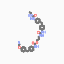 CCNC(=O)Nc1ccc(Cc2ccc(NC(=O)NCCCOC(=O)Nc3ccc(Cc4ccc(OC#N)cc4)cc3)cc2)cc1